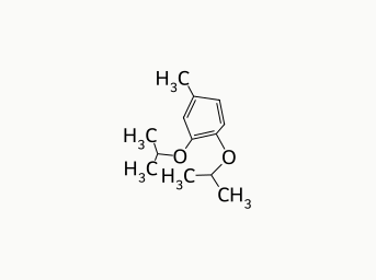 Cc1ccc(OC(C)C)c(OC(C)C)c1